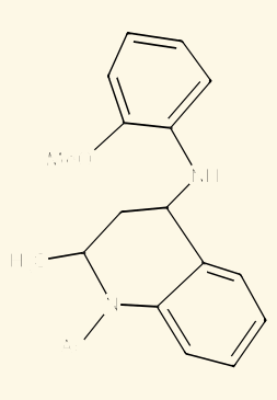 COc1ccccc1NC1CC(C)N(C(C)=O)c2ccccc21